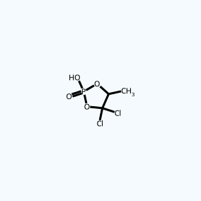 CC1OP(=O)(O)OC1(Cl)Cl